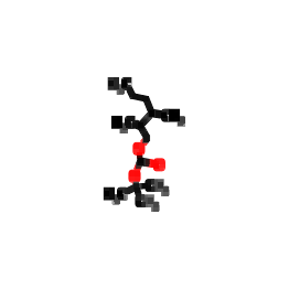 C=C(CCC)C(=C)COC(=O)OC(C)(C)C